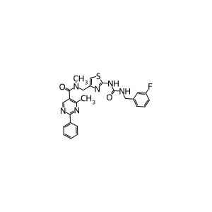 Cc1nc(-c2ccccc2)ncc1C(=O)N(C)Cc1csc(NC(=O)NCc2cccc(F)c2)n1